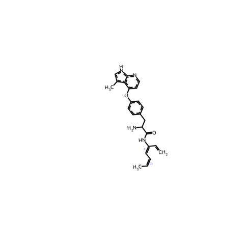 C=C/C(=C\C=C/C)NC(=O)C(N)Cc1ccc(Oc2ccnc3[nH]cc(C)c23)cc1